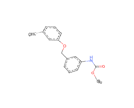 CC(C)(C)OC(=O)Nc1cccc(COc2cccc(C=O)c2)c1